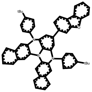 CC(C)(C)c1ccc(N2c3cc4ccccc4cc3B3c4cc5ccccc5cc4N(c4ccc(C(C)(C)C)cc4)c4cc(-c5ccc6c(c5)oc5ccccc56)cc2c43)cc1